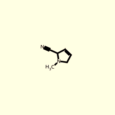 CN1CC=[C]C1C#N